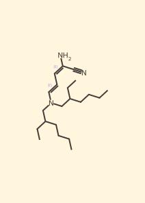 CCCCC(CC)CN(/C=C/C=C(/N)C#N)CC(CC)CCCC